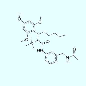 CCCCCC(c1c(OC)cc(OC)cc1OC)C(C(=O)Nc1cccc(CNC(C)=O)c1)C(C)(C)C